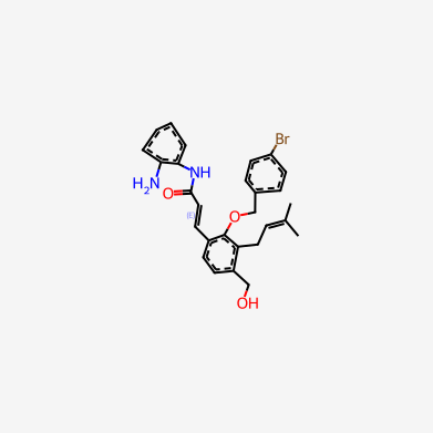 CC(C)=CCc1c(CO)ccc(/C=C/C(=O)Nc2ccccc2N)c1OCc1ccc(Br)cc1